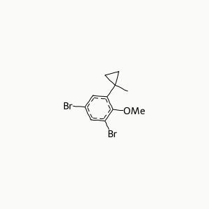 COc1c(Br)cc(Br)cc1C1(C)CC1